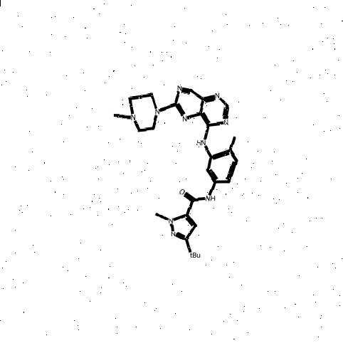 Cc1ccc(NC(=O)c2cc(C(C)(C)C)nn2C)cc1Nc1ncnc2cnc(N3CCN(C)CC3)nc12